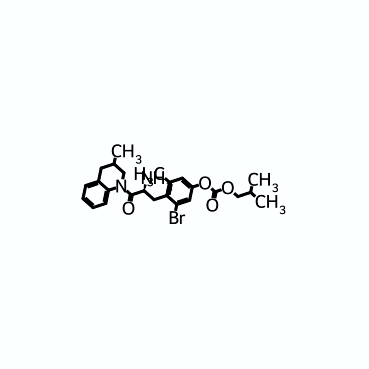 Cc1cc(OC(=O)OCC(C)C)cc(Br)c1C[C@H](N)C(=O)N1CC(C)Cc2ccccc21